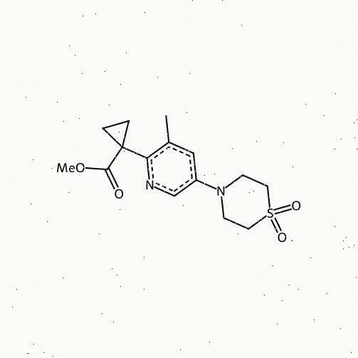 COC(=O)C1(c2ncc(N3CCS(=O)(=O)CC3)cc2C)CC1